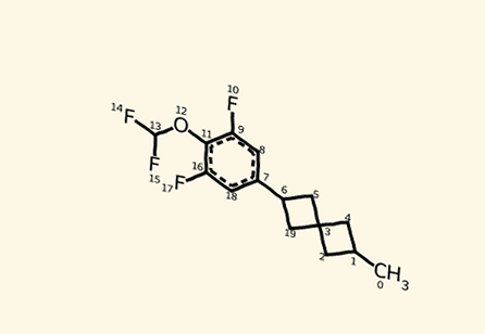 CC1CC2(C1)CC(c1cc(F)c(OC(F)F)c(F)c1)C2